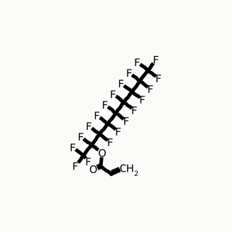 C=CC(=O)OC(F)(C(F)(F)F)C(F)(F)C(F)(F)C(F)(F)C(F)(F)C(F)(F)C(F)(F)C(F)(F)F